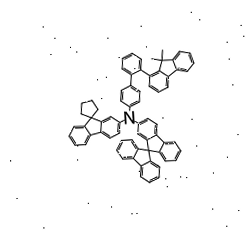 CC1(C)c2ccccc2-c2cccc(-c3ccccc3-c3ccc(N(c4ccc5c(c4)C4(CCCC4)c4ccccc4-5)c4ccc5c(c4)C4(c6ccccc6-c6ccccc64)c4ccccc4-5)cc3)c21